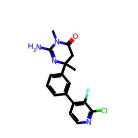 CN1C(=O)CC(C)(c2cccc(-c3ccnc(Cl)c3F)c2)N=C1N